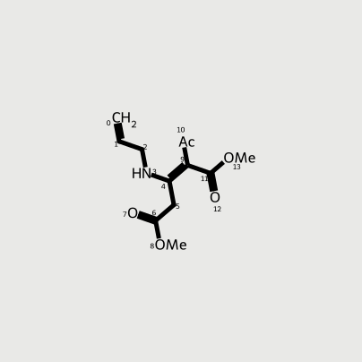 C=CCNC(CC(=O)OC)=C(C(C)=O)C(=O)OC